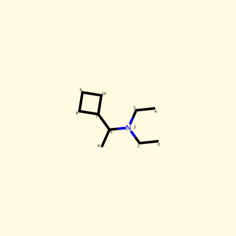 CCN(CC)C(C)C1CCC1